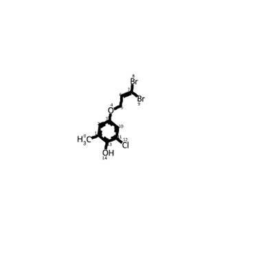 Cc1cc(OCC=C(Br)Br)cc(Cl)c1O